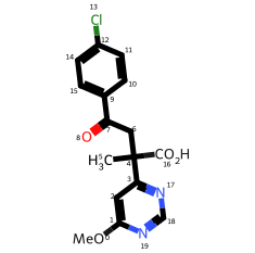 COc1cc(C(C)(CC(=O)c2ccc(Cl)cc2)C(=O)O)ncn1